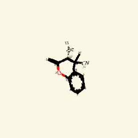 C=C1Oc2ccccc2C(C)(C#N)[C@H]1C(C)=O